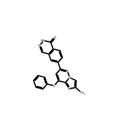 Cc1cn2nc(-c3ccc4c(=O)[nH]ncc4c3)cc(Oc3ccccc3)c2n1